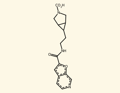 O=C(NCCC1C2CN(C(=O)O)CC12)c1cc2ccncc2o1